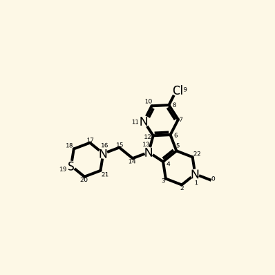 CN1CCc2c(c3cc(Cl)cnc3n2CCN2CCSCC2)C1